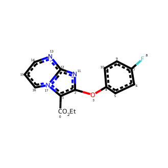 CCOC(=O)c1c(Oc2ccc(F)cc2)nc2ncccn12